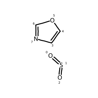 O=S=O.c1cocn1